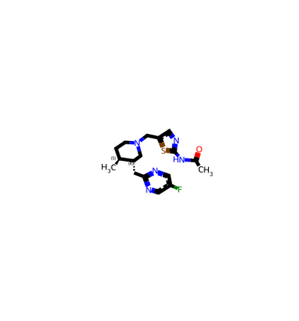 CC(=O)Nc1ncc(CN2CC[C@H](C)[C@@H](Cc3ncc(F)cn3)C2)s1